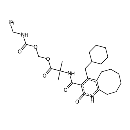 CC(C)CNC(=O)OCOC(=O)C(C)(C)NC(=O)c1c(CC2CCCCC2)c2c([nH]c1=O)CCCCCC2